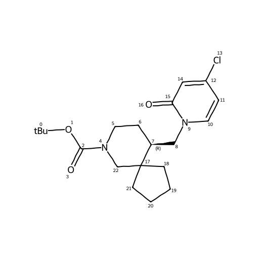 CC(C)(C)OC(=O)N1CC[C@@H](Cn2ccc(Cl)cc2=O)C2(CCCC2)C1